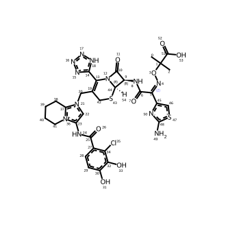 CC(C)(O/N=C(\C(=O)N[C@@H]1C(=O)N2C(c3nnn[nH]3)=C(Cn3cc(NC(=O)c4ccc(O)c(O)c4Cl)[n+]4c3CCCC4)CS[C@H]12)c1csc(N)n1)C(=O)O